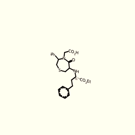 CCOC(=O)[C@H](CCc1ccccc1)NC1CSCC(C(C)C)N(CC(=O)O)C1=O